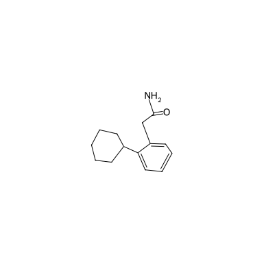 NC(=O)Cc1ccccc1C1CCCCC1